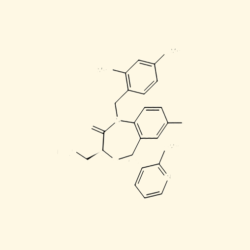 CCOC(=O)C[C@@H]1O[C@@H](c2cccnc2OC)c2cc(Cl)ccc2N(Cc2ccc(OC)cc2OC)C1=O